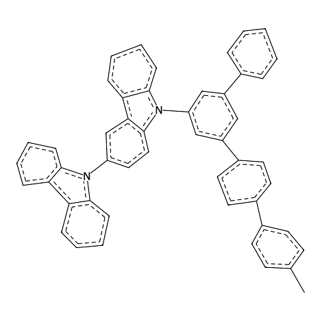 Cc1ccc(-c2ccc(-c3cc(-c4ccccc4)cc(-n4c5ccccc5c5cc(-n6c7ccccc7c7ccccc76)ccc54)c3)cc2)cc1